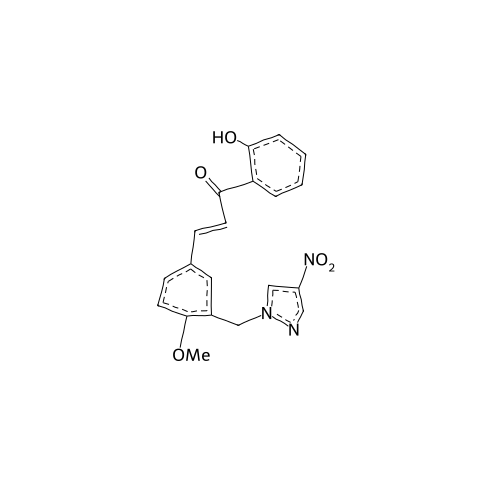 COc1ccc(C=CC(=O)c2ccccc2O)cc1Cn1cc([N+](=O)[O-])cn1